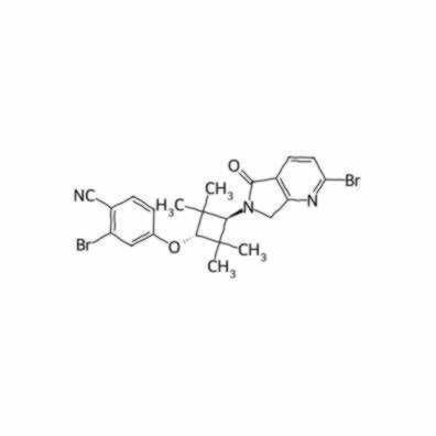 CC1(C)[C@H](Oc2ccc(C#N)c(Br)c2)C(C)(C)[C@H]1N1Cc2nc(Br)ccc2C1=O